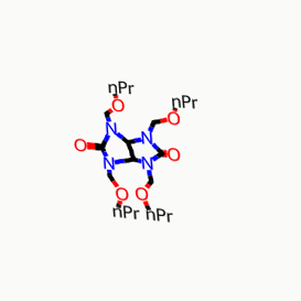 CCCOCN1C(=O)N(COCCC)C2C1N(COCCC)C(=O)N2COCCC